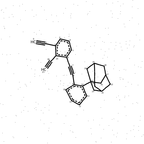 C#Cc1cccc(C#Cc2ccccc2C23CC4CC(CC(C4)C2)C3)c1C#C